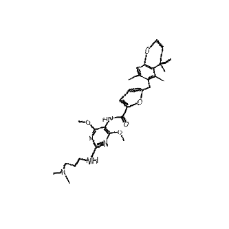 COc1nc(NCCCN(C)C)nc(OC)c1NC(=O)c1ccc(Cc2c(C)cc3c(c2C)C(C)(C)CCO3)o1